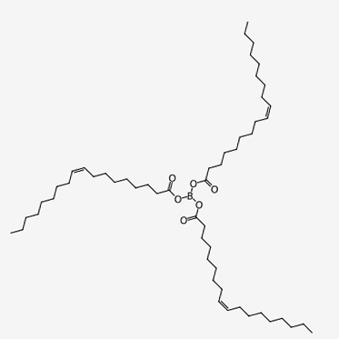 CCCCCCCC/C=C\CCCCCCCC(=O)OB(OC(=O)CCCCCCC/C=C\CCCCCCCC)OC(=O)CCCCCCC/C=C\CCCCCCCC